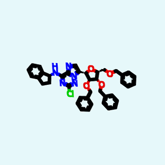 Clc1nc(N[C@H]2CCc3ccccc32)c2ncc([C@@H]3O[C@H](COCc4ccccc4)[C@@H](OCc4ccccc4)[C@H]3OCc3ccccc3)n2n1